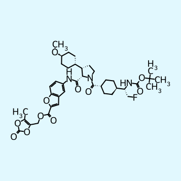 CO[C@H]1CC[C@H]([C@@H]2CCN(C(=O)[C@H]3CC[C@H]([C@@H](CF)NC(=O)OC(C)(C)C)CC3)[C@@H]2C(=O)Nc2ccc3oc(C(=O)OCc4oc(=O)oc4C)cc3c2)CC1